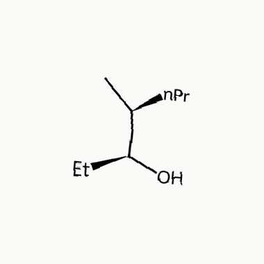 CCC[C@H](C)[C@@H](O)CC